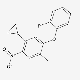 Cc1cc([N+](=O)[O-])c(C2CC2)cc1Oc1ccccc1F